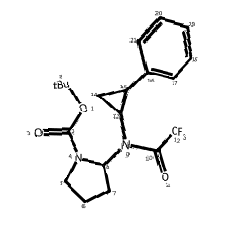 CC(C)(C)OC(=O)N1CCCC1N(C(=O)C(F)(F)F)C1CC1c1ccccc1